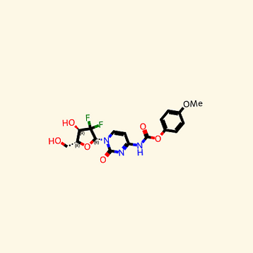 COc1ccc(OC(=O)Nc2ccn([C@@H]3O[C@H](CO)[C@@H](O)C3(F)F)c(=O)n2)cc1